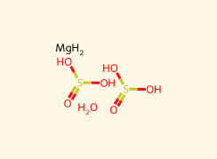 O.O=S(O)O.O=S(O)O.[MgH2]